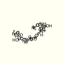 Cc1ncsc1-c1ccc([C@H](C)NC(=O)[C@@H]2C[C@@H](O)CN2C(=O)[C@@H](NC(=O)C2CC3(CCN(C(=O)CN4CCN(CCN/C=C5/C=C(NC(=O)c6cccc(C(F)(F)F)n6)C(C(C)(C)O)=CC5=N)C4=O)CC3)C2)C(C)(C)C)cc1